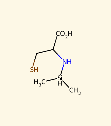 C[SiH](C)NC(CS)C(=O)O